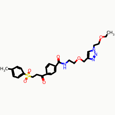 CCOCCn1cc(COCCNC(=O)c2ccc(C(=O)CCS(=O)(=O)c3ccc(C)cc3)cc2)nn1